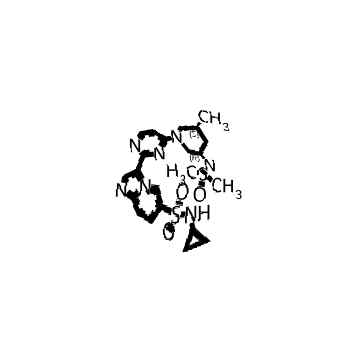 C[C@H]1C[C@@H](N=S(C)(C)=O)CN(c2ccnc(-c3cnc4ccc(S(=O)(=O)NC5CC5)cn34)n2)C1